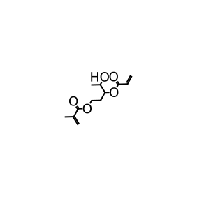 C=CC(=O)OC(CCOC(=O)C(=C)C)C(C)O